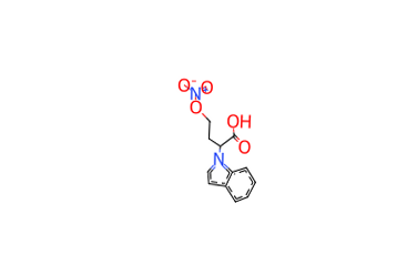 O=C(O)C(CCO[N+](=O)[O-])n1ccc2ccccc21